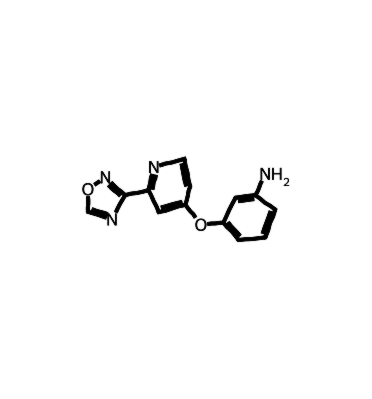 Nc1cccc(Oc2ccnc(-c3ncon3)c2)c1